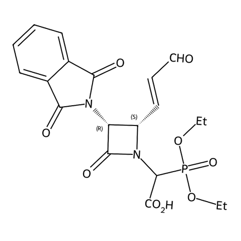 CCOP(=O)(OCC)C(C(=O)O)N1C(=O)[C@H](N2C(=O)c3ccccc3C2=O)[C@@H]1C=CC=O